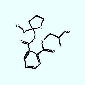 CCCCC(CC)COC(=O)c1ccccc1C(=O)OC1(OCC)CCCO1